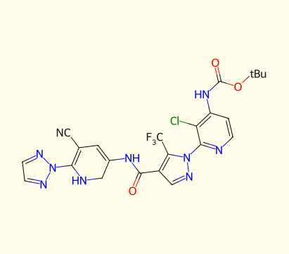 CC(C)(C)OC(=O)Nc1ccnc(-n2ncc(C(=O)NC3=CC(C#N)=C(n4nccn4)NC3)c2C(F)(F)F)c1Cl